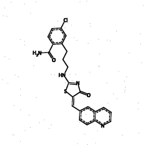 NC(=O)c1ccc(Cl)cc1CCCNC1=NC(=O)C(=Cc2ccc3ncccc3c2)S1